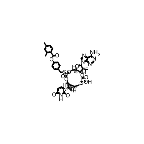 Cc1ccc(C(=O)Oc2ccc(CS[P@]3(=O)OC[C@H]4O[C@@H](n5cnc6c(N)ncnc65)[C@H](F)[C@@H]4OP(=O)(O)OC[C@H]4O[C@@H](n5ccc(=O)[nH]c5=O)[C@H](O3)[C@@H]4F)cc2)c(C)c1